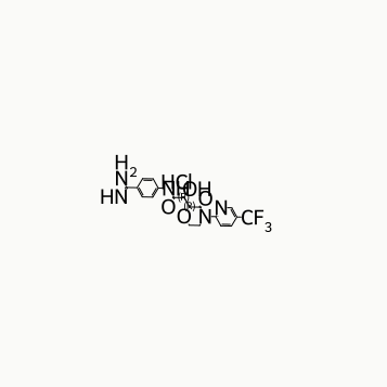 Cl.N=C(N)c1ccc(NC(=O)[C@H](O)[C@H]2OCCN(c3ccc(C(F)(F)F)cn3)C2=O)cc1